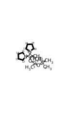 C[Si](C)(C)O[Si](C)(C)O[Si](C)(N1CCCC1)N1CCCC1